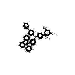 C=C1CC(CC)CC(C)(c2ccc(N(c3ccc(C4CC5CCC4C5)cc3)c3ccc4c(c3)C3(c5ccccc5-c5ccccc53)c3ccccc3-4)cc2)C1